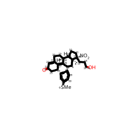 CSc1ccc([C@H]2C[C@@]3(C)[C@@H](CC[C@]3(CCCO)[N+](=O)[O-])[C@@H]3CCC4=CC(=O)CCC4=C32)cc1